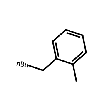 [CH2]CCCCc1ccccc1C